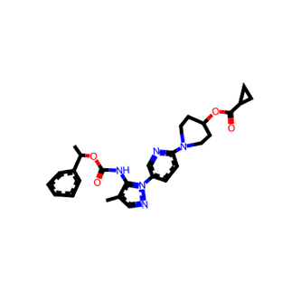 Cc1cnn(-c2ccc(N3CCC(OC(=O)C4CC4)CC3)nc2)c1NC(=O)OC(C)c1ccccc1